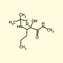 CCCC(NC(C)(C)C)C(O)C(=O)NC